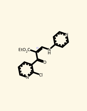 CCOC(=O)/C(=C/Nc1ccncc1)C(=O)c1cccnc1Cl